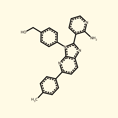 Cc1ccc(-c2ccc3nc(-c4cccnc4N)n(-c4ccc(CO)cc4)c3n2)cc1